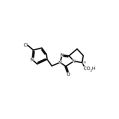 O=C(O)[C@@H]1CCc2nn(Cc3ccc(Cl)nc3)c(=O)n21